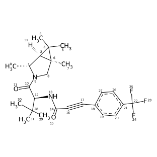 C[C@@H]1[C@H]2C(C)(C)[C@@]2(C)CN1C(=O)[C@@H](NC(=O)C#Cc1ccc(C(F)(F)F)cc1)C(C)(C)C